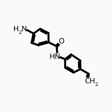 C=Cc1ccc(NC(=O)c2ccc(N)cc2)cc1